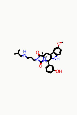 COc1ccc2[nH]c3c(c2c1)C[C@@]1(C)C(=O)N(CCCNCC(C)C)C(=O)N1[C@@H]3c1cccc(O)c1